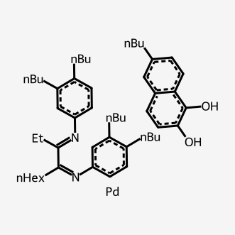 CCCCCCC(=Nc1ccc(CCCC)c(CCCC)c1)C(CC)=Nc1ccc(CCCC)c(CCCC)c1.CCCCc1ccc2c(O)c(O)ccc2c1.[Pd]